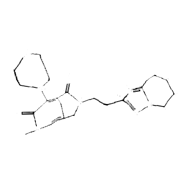 Cn1cc2c(c(N3CCOCC3)c1=O)C(=O)N(CCc1nc3n(n1)CCCC3)C2